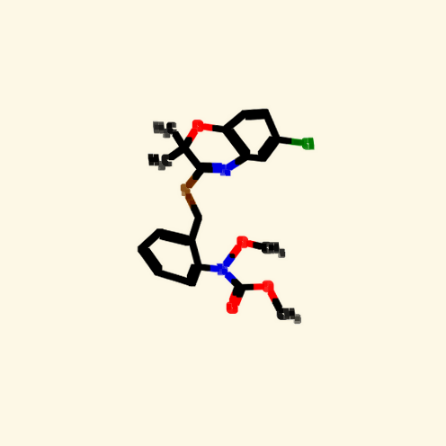 COC(=O)N(OC)c1ccccc1CSC1=Nc2cc(Cl)ccc2OC1(C)C